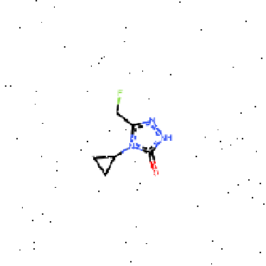 O=c1[nH]nc(CF)n1C1CC1